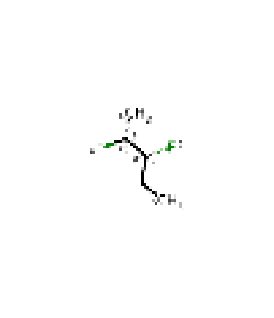 CC[C@@H](F)[C@@H](C)F